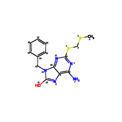 CSCSc1nc(N)c2nc(O)n(Cc3ccccc3)c2n1